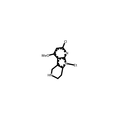 CCn1c2c(c3c(OC)cc(Cl)nc31)CNCC2